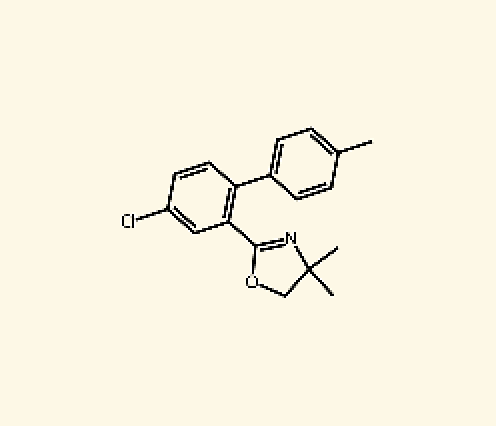 Cc1ccc(-c2ccc(Cl)cc2C2=NC(C)(C)CO2)cc1